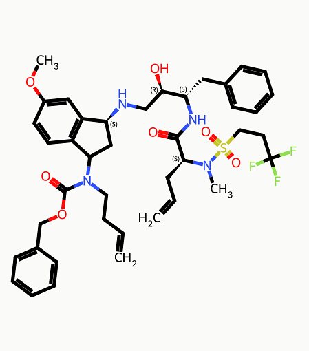 C=CCCN(C(=O)OCc1ccccc1)C1C[C@H](NC[C@@H](O)[C@H](Cc2ccccc2)NC(=O)[C@H](CC=C)N(C)S(=O)(=O)CCC(F)(F)F)c2cc(OC)ccc21